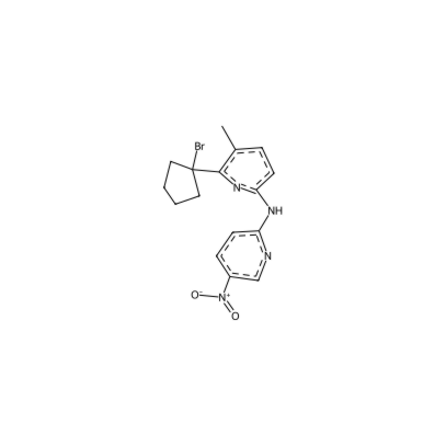 Cc1ccc(Nc2ccc([N+](=O)[O-])cn2)nc1C1(Br)CCCC1